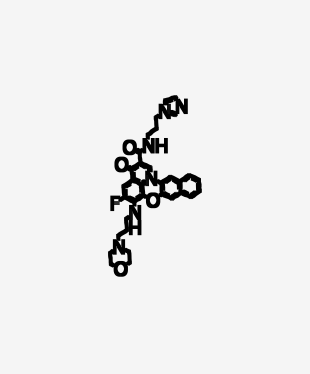 O=C(NCCCn1ccnc1)c1cn2c3c(c(NCCCN4CCOCC4)c(F)cc3c1=O)Oc1cc3ccccc3cc1-2